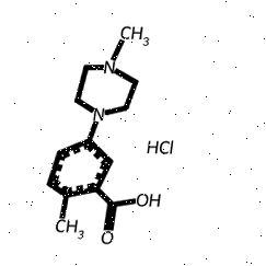 Cc1ccc(N2CCN(C)CC2)cc1C(=O)O.Cl